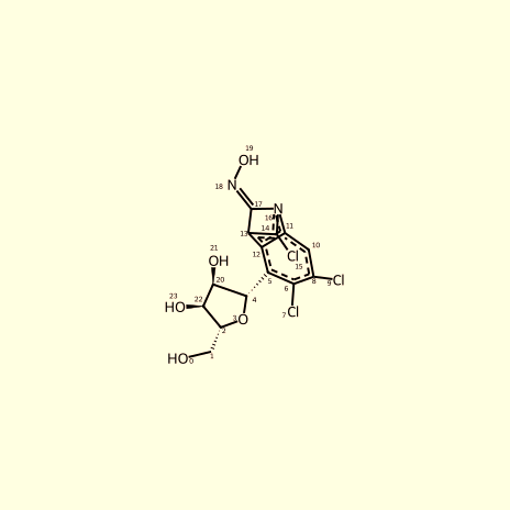 OC[C@H]1O[C@@H](c2c(Cl)c(Cl)cc3c2c2c(Cl)n3C2=NO)[C@H](O)[C@@H]1O